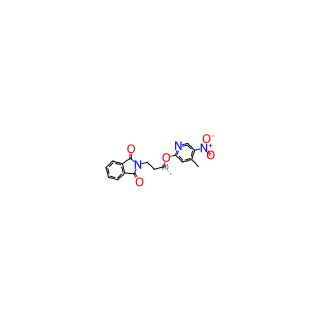 Cc1cc(O[C@H](C)CCN2C(=O)c3ccccc3C2=O)ncc1[N+](=O)[O-]